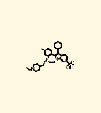 CCN1CCC(CCN2CCn3c(c(C4CCCCC4)c4ccc(C(=O)O)cc43)-c3ccc(C)cc32)CC1